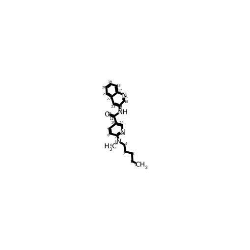 CCCCCN(C)c1ccc(C(=O)Nc2cnc3ccccc3c2)cn1